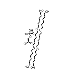 O=P(O)(O)OC=C(Cl)Cl.OCCCCCCOCCCCCCOCCCCCCO.OCCCCCCOCCCCCCOCCCCCCO